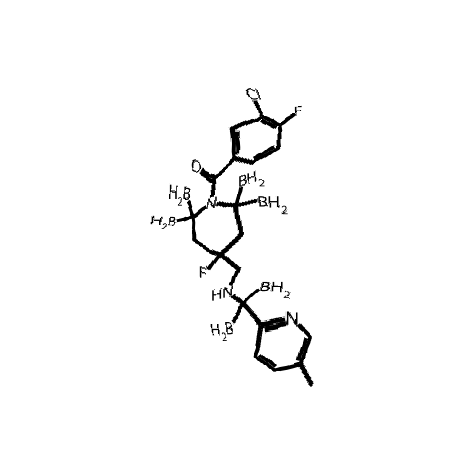 BC(B)(NCC1(F)CC(B)(B)N(C(=O)c2ccc(F)c(Cl)c2)C(B)(B)C1)c1ccc(C)cn1